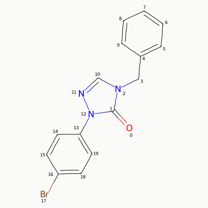 O=c1n(Cc2ccccc2)cnn1-c1ccc(Br)cc1